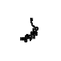 CC(=Cc1c(F)cc(C(=O)Nc2nc(-c3cccc(C#CCCCC#N)c3F)cs2)cc1F)C(=O)O